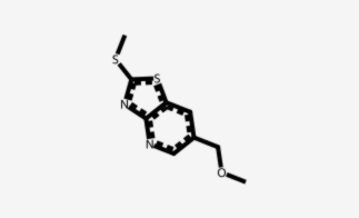 COCc1cnc2nc(SC)sc2c1